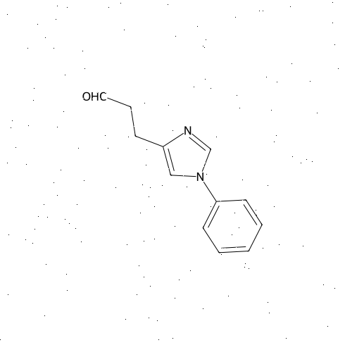 O=CCCc1cn(-c2ccccc2)cn1